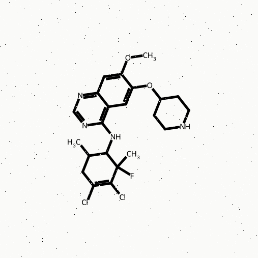 COc1cc2ncnc(NC3C(C)CC(Cl)=C(Cl)C3(C)F)c2cc1OC1CCNCC1